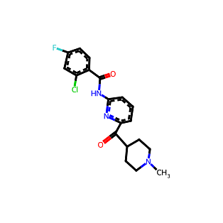 CN1CCC(C(=O)c2cccc(NC(=O)c3ccc(F)cc3Cl)n2)CC1